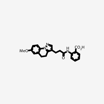 COc1ccc2c(c1)CCc1c(CCC(=O)Nc3ccccc3C(=O)O)cnn1-2